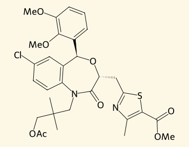 COC(=O)c1sc(C[C@H]2O[C@H](c3cccc(OC)c3OC)c3cc(Cl)ccc3N(CC(C)(C)COC(C)=O)C2=O)nc1C